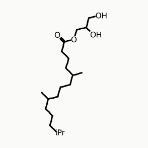 CC(C)CCCC(C)CCCC(C)CCCC(=O)OCC(O)CO